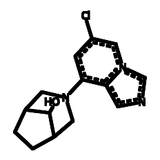 OC1C2CCC1CN(c1cc(Cl)cn3cncc13)C2